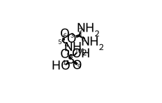 NC(N)=O.NC=O.O=S(=O)(O)O